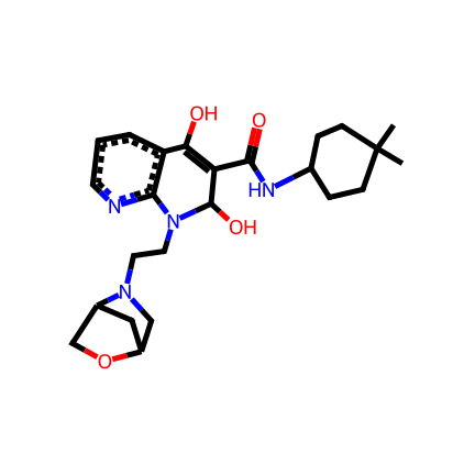 CC1(C)CCC(NC(=O)C2=C(O)c3cccnc3N(CCN3CC4CC3CO4)C2O)CC1